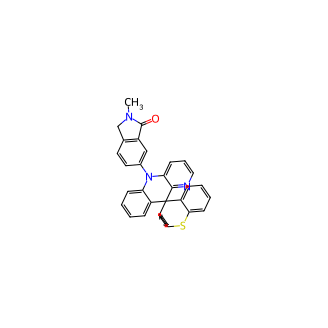 CN1Cc2ccc(N3c4ccccc4C4(c5ccccc5Sc5ccccc54)c4ncccc43)cc2C1=O